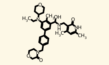 CCN(c1cc(-c2ccc(CN3CCOCC3=O)cc2)cc(C(O)NCc2c(C)cc(C)[nH]c2=O)c1C)C1CCOCC1